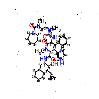 CC(C)CC[C@H](O)[C@H](CC1CCCCC1)NC(=O)[C@H](Cc1c[nH]cn1)N(C)C(=O)[C@H](Cc1ccccc1)NC(=O)N(C)CCN(C)C(=O)N1CCCCCC1